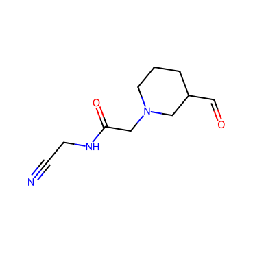 N#CCNC(=O)CN1CCCC(C=O)C1